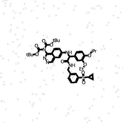 CCOc1cc(C(Nc2ccc3c(N(C(=O)OC(C)(C)C)C(=O)OC(C)(C)C)nncc3c2)C(=O)NCc2cccc(S(=O)(=O)C3CC3)c2)ccc1OC(C)C